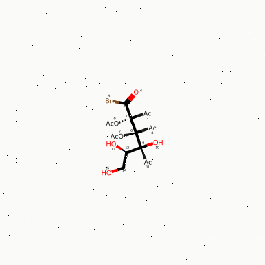 CC(=O)O[C@@](C(C)=O)(C(=O)Br)[C@](OC(C)=O)(C(C)=O)[C@@](O)(C(C)=O)[C@H](O)CO